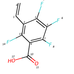 C=Cc1c(F)c(F)c(F)c(C(=O)O)c1F